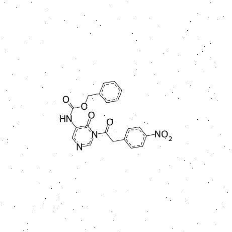 O=C(Nc1cncn(C(=O)Cc2ccc([N+](=O)[O-])cc2)c1=O)OCc1ccccc1